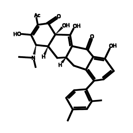 CC(=O)C1=C(O)[C@@H](N(C)C)[C@@H]2C[C@@H]3Cc4c(-c5ccc(C)cc5C)ccc(O)c4C(=O)C3=C(O)[C@]2(O)C1=O